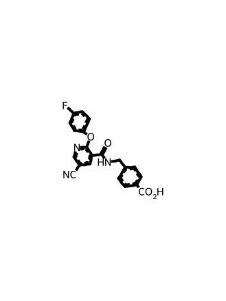 N#Cc1cnc(Oc2ccc(F)cc2)c(C(=O)NCc2ccc(C(=O)O)cc2)c1